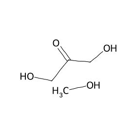 CO.O=C(CO)CO